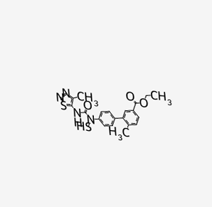 CCOC(=O)c1ccc(C)c(-c2ccc(N(S)C(=O)Nc3snnc3C)cc2)c1